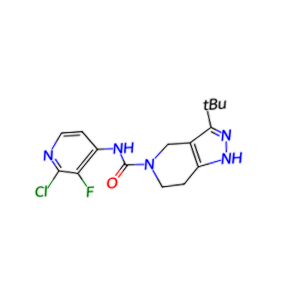 CC(C)(C)c1n[nH]c2c1CN(C(=O)Nc1ccnc(Cl)c1F)CC2